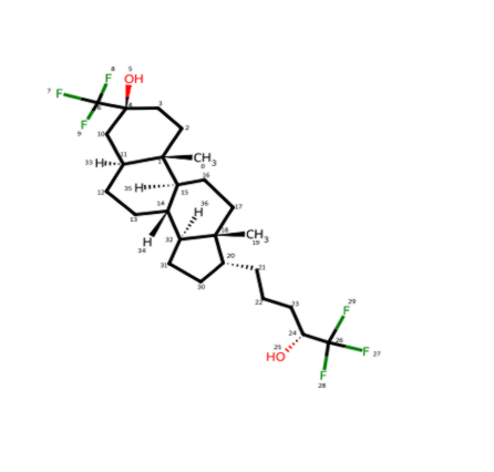 C[C@]12CC[C@@](O)(C(F)(F)F)C[C@@H]1CC[C@@H]1[C@@H]2CC[C@]2(C)[C@H](CCC[C@@H](O)C(F)(F)F)CC[C@@H]12